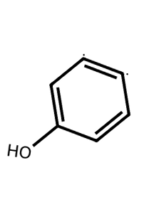 Oc1c[c][c]cc1